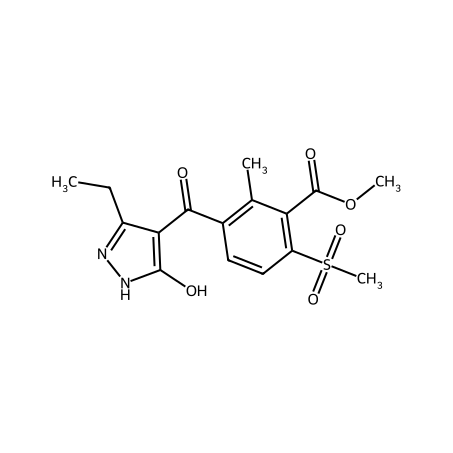 CCc1n[nH]c(O)c1C(=O)c1ccc(S(C)(=O)=O)c(C(=O)OC)c1C